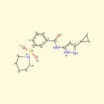 O=C(Nc1cc(C2CC2)n[nH]1)c1cccc(S(=O)(=O)N2CCCCC2)c1